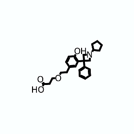 O=C(O)CCOCCc1ccc(O)c(C2(c3ccccc3)CN(C3CCCC3)C2)c1